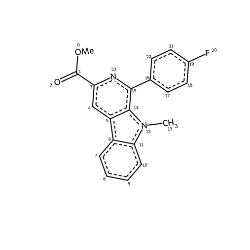 COC(=O)c1cc2c3ccccc3n(C)c2c(-c2ccc(F)cc2)n1